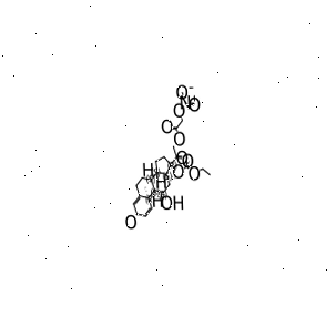 CCOC(=O)O[C@]1(C(=O)COC(=O)CO[N+](=O)[O-])CC[C@H]2[C@@H]3CCC4=CC(=O)C=C[C@]4(C)[C@H]3[C@@H](O)C[C@@]21C